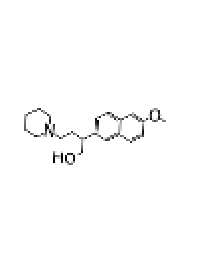 COc1ccc2cc(C(CO)CCN3CCCCC3)ccc2c1